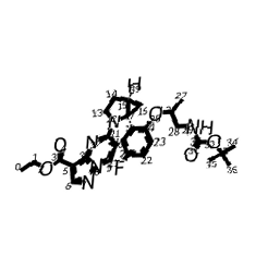 CCOC(=O)c1cnn2ccc(N3CC[C@H]4C[C@]43c3cc(F)ccc3OC(C)CNC(=O)OC(C)(C)C)nc12